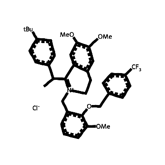 COc1cc2c(cc1OC)C(C(C)c1ccc(C(C)(C)C)cc1)=[N+](Cc1cccc(OC)c1OCc1ccc(C(F)(F)F)cc1)CC2.[Cl-]